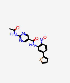 CC(=O)Nc1ncc(C(=O)Nc2cc(-c3cccs3)ccc2N=O)cn1